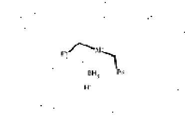 B.CC(C)[CH2][Al+][CH2]C(C)C.[H-]